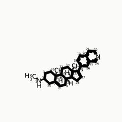 CN[C@H]1CC[C@@]2(C)C(=CC[C@@H]3[C@@H]2CC[C@]2(C)C(c4ccc5ccncc5c4)=CC[C@@H]32)C1